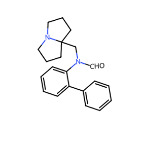 O=CN(CC12CCCN1CCC2)c1ccccc1-c1ccccc1